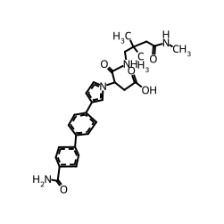 CNC(=O)CC(C)(C)CNC(=O)C(CC(=O)O)n1ccc(-c2ccc(-c3ccc(C(N)=O)cc3)cc2)c1